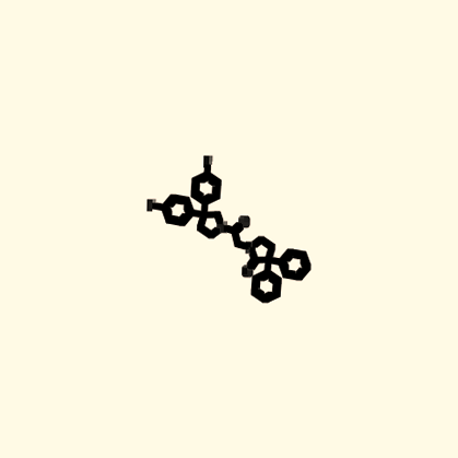 O=C(CN1CCC(c2ccccc2)(c2ccccc2)C1=O)N1CCC(c2ccc(F)cc2)(c2ccc(F)cc2)C1